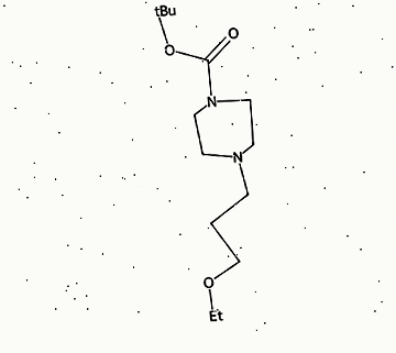 CCOCCCN1CCN(C(=O)OC(C)(C)C)CC1